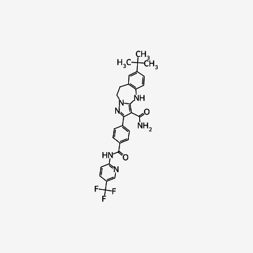 CC(C)(C)c1ccc2c(c1)CCn1nc(-c3ccc(C(=O)Nc4ccc(C(F)(F)F)cn4)cc3)c(C(N)=O)c1N2